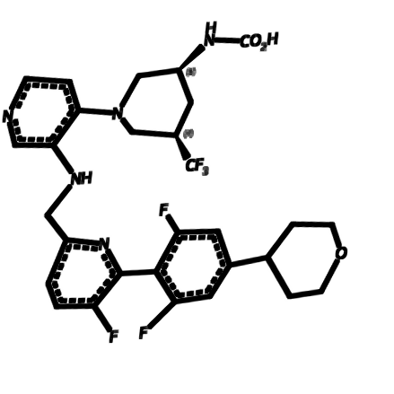 O=C(O)N[C@H]1C[C@@H](C(F)(F)F)CN(c2ccncc2NCc2ccc(F)c(-c3c(F)cc(C4CCOCC4)cc3F)n2)C1